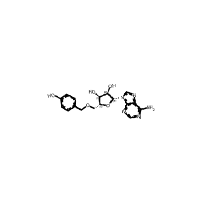 Nc1ncnc2c1ncn2[C@@H]1O[C@H](COCc2ccc(O)cc2)[C@@H](O)[C@H]1O